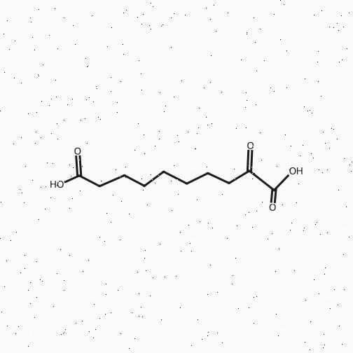 O=C(O)CCCCCCCC(=O)C(=O)O